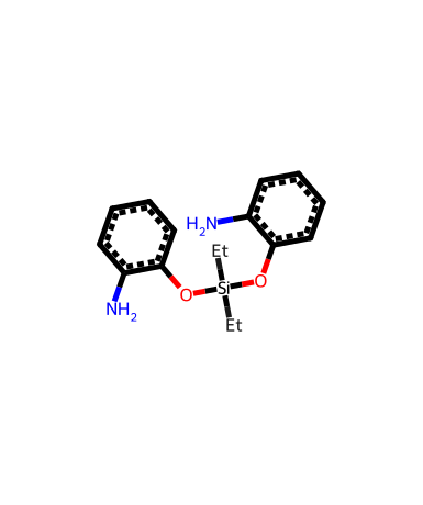 CC[Si](CC)(Oc1ccccc1N)Oc1ccccc1N